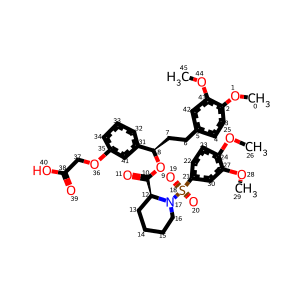 COc1ccc(CC[C@@H](OC(=O)[C@@H]2CCCCN2S(=O)(=O)c2ccc(OC)c(OC)c2)c2cccc(OCC(=O)O)c2)cc1OC